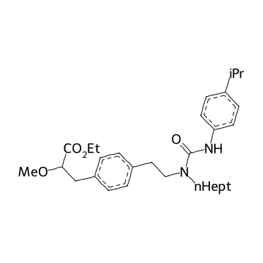 CCCCCCCN(CCc1ccc(CC(OC)C(=O)OCC)cc1)C(=O)Nc1ccc(C(C)C)cc1